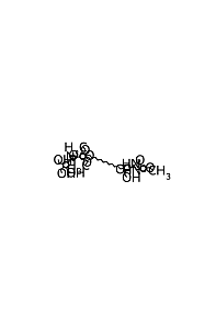 COc1ccc2c(c1)C(=O)NC(c1ccc(OCCCCCCCCCCOc3c(OC)cc(-c4cc(-c5cc(CO)c(CO)c(CO)c5)no4)cc3OC)c(CO)c1)N2